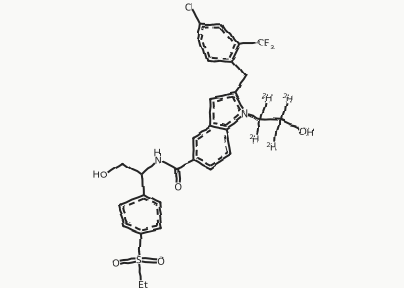 [2H]C([2H])(O)C([2H])([2H])n1c(Cc2ccc(Cl)cc2C(F)(F)F)cc2cc(C(=O)NC(CO)c3ccc(S(=O)(=O)CC)cc3)ccc21